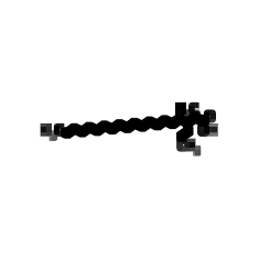 C=C(C(=O)O)C(CCC)CCCCCCCCCCCCCCCCC